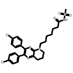 CS(=O)(=O)NC(=O)CCCCCCN1CCCc2nc(-c3ccc(Cl)cc3)c(-c3ccc(Cl)cc3)nc21